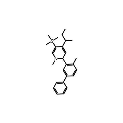 CCC(C)C1=CC(c2cc(-c3ccccc3)ccc2C)N(C)C=C1S(C)(C)C